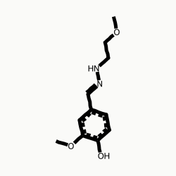 COCCN/N=C/c1ccc(O)c(OC)c1